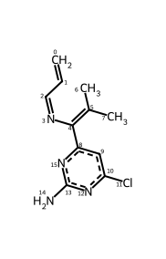 C=C/C=N\C(=C(C)C)c1cc(Cl)nc(N)n1